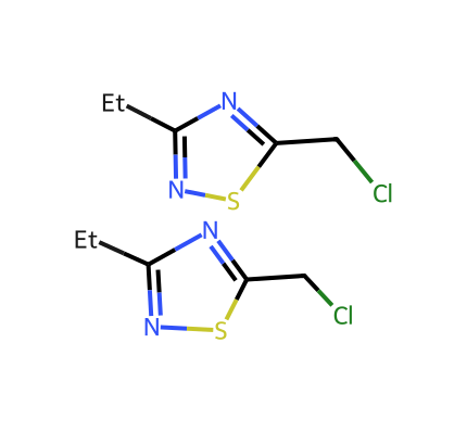 CCc1nsc(CCl)n1.CCc1nsc(CCl)n1